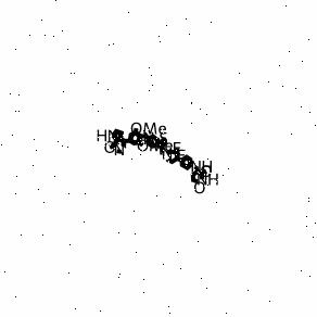 COc1cc(-c2cn(C)c(=O)c3[nH]ccc23)cc(OC)c1CN1CCc2c(CN3CCC(c4ccc(NC5CCC(=O)NC5=O)cc4)C(F)(F)C3)csc2C1